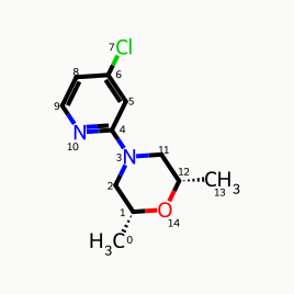 C[C@@H]1CN(c2cc(Cl)ccn2)C[C@H](C)O1